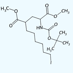 COC(=O)C(CCCCCCI)CC(NC(=O)OC(C)(C)C)C(=O)OC